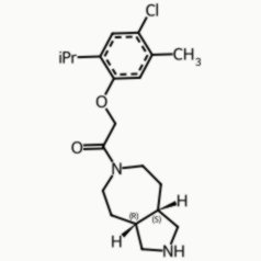 Cc1cc(OCC(=O)N2CC[C@@H]3CNC[C@@H]3CC2)c(C(C)C)cc1Cl